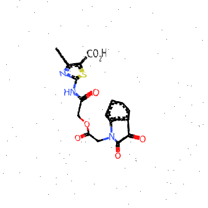 Cc1nc(NC(=O)COC(=O)CN2C(=O)C(=O)c3ccccc32)sc1C(=O)O